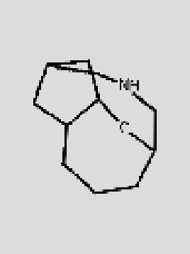 C1CC2CNC3CC(C1)C(C2)C3